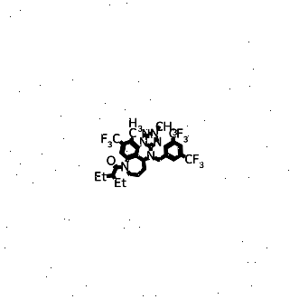 CCC(CC)C(=O)N1CCCC(N(Cc2cc(C(F)(F)F)cc(C(F)(F)F)c2)c2nnn(C)n2)c2cc(C)c(C(F)(F)F)cc21